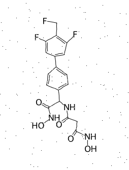 O=C(CC(=O)NC(C(=O)NO)c1ccc(-c2cc(F)c(CF)c(F)c2)cc1)NO